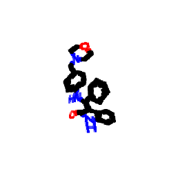 O=C1Nc2ccccc2/C1=C(/Nc1ccc(CN2CCOCC2)cc1)c1ccccc1